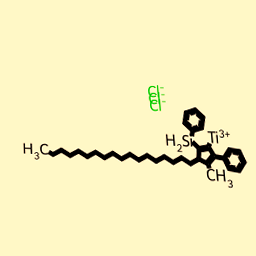 CCCCCCCCCCCCCCCCCCC1C(C)=C(c2ccccc2)[C]([Ti+3])=C1[SiH2]c1ccccc1.[Cl-].[Cl-].[Cl-]